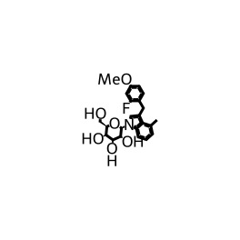 COc1ccc(Cc2cn([C@@H]3O[C@H](CO)[C@@H](O)[C@H](O)[C@H]3O)c3cccc(C)c23)c(F)c1